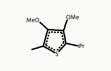 COc1c(C)sc(C(C)C)c1OC